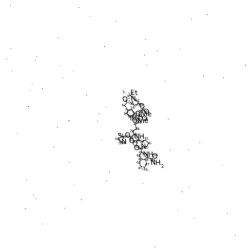 CC[C@H]([C@@H](C)OCCc1ccc(OC)c(OC)c1)N1CC[C@@H](OC(=O)CC(=O)NCCCC[C@@H](NC(=O)[C@H]2CCCN2C(=O)[C@H](CC2CCCCC2)NCC(N)=O)C(=O)Oc2nccs2)C1